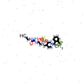 C#CCNC(=O)CNC(=O)CN(CC1CCN(C(C)c2ccccc2C(F)(F)F)CC1)[SH](=O)=O